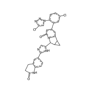 O=C1CCc2cc(-c3ncc(C4C5CC5c5cc(-c6cc(Cl)ccc6-n6cc(Cl)nn6)cc(=O)n54)[nH]3)ccc2N1